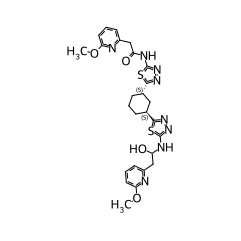 COc1cccc(CC(=O)Nc2nnc([C@H]3CCC[C@H](c4nnc(NC(O)Cc5cccc(OC)n5)s4)C3)s2)n1